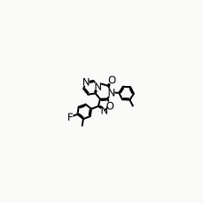 CC(=O)N(c1cccc(C)c1)c1onc(-c2ccc(F)c(C)c2)c1-c1ccncn1